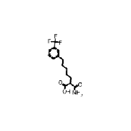 NC(=O)C(CCCCCc1cccc(C(F)(F)F)c1)C(=O)O